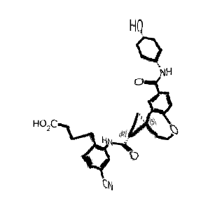 N#Cc1ccc(CCCC(=O)O)c(NC(=O)[C@@H]2C[C@]23CCOc2ccc(C(=O)N[C@H]4CC[C@@H](O)CC4)cc23)c1